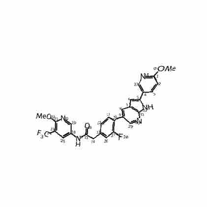 COc1ccc(-c2cc3cc(-c4ccc(CC(=O)Nc5cnc(OC)c(C(F)(F)F)c5)cc4F)cnc3[nH]2)cn1